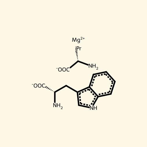 CC(C)[C@H](N)C(=O)[O-].N[C@@H](Cc1c[nH]c2ccccc12)C(=O)[O-].[Mg+2]